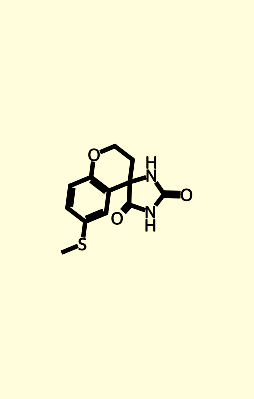 CSc1ccc2c(c1)C1(CCO2)NC(=O)NC1=O